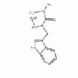 CN(C)C(=O)C(Cc1c[nH]c2ccccc12)NC=O